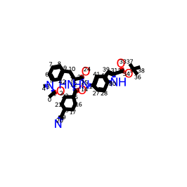 CC(=O)N(C)c1cccc(CC(NC(=O)C2CCC(C#N)CC2)C(=O)Nc2ccc3[nH]c(C(=O)OC(C)(C)C)cc3c2)c1